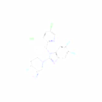 C[C@H](c1ccc(Cl)cn1)n1c(N2CC[C@@H](F)[C@H](N)C2)nc2cc(F)c(F)cc21.Cl